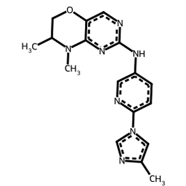 Cc1cn(-c2ccc(Nc3ncc4c(n3)N(C)C(C)CO4)cn2)cn1